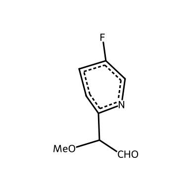 COC(C=O)c1ccc(F)cn1